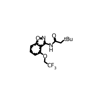 CC(C)(C)CC(=O)Nc1noc2cccc(OCC(F)(F)F)c12